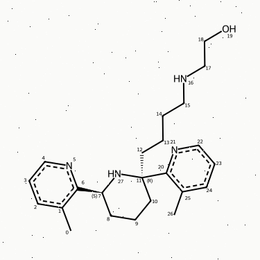 Cc1cccnc1[C@@H]1CCC[C@](CCCCNCCO)(c2ncccc2C)N1